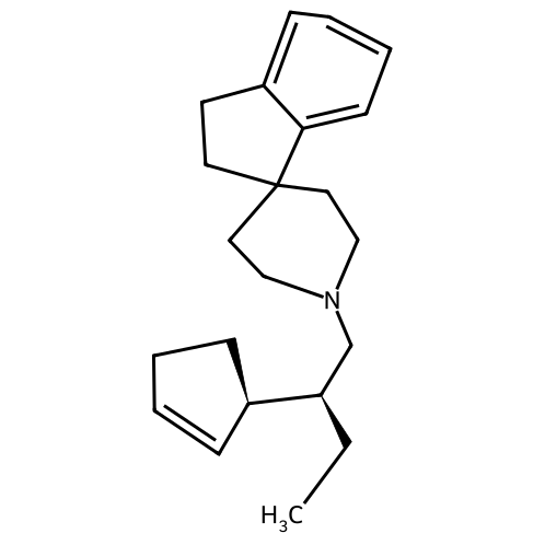 CC[C@H](CN1CCC2(CCc3ccccc32)CC1)[C@H]1C=CCC1